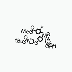 COC(=O)c1ccc(CN(C(=O)N2CCS(O)(O)CC2)c2ccc(OC3CCN(C(=O)OC(C)(C)C)CC3)cc2)c(F)c1